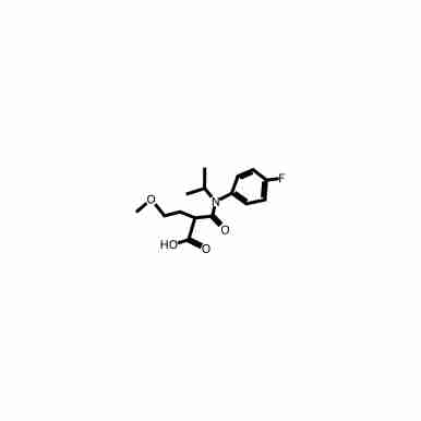 COCCC(C(=O)O)C(=O)N(c1ccc(F)cc1)C(C)C